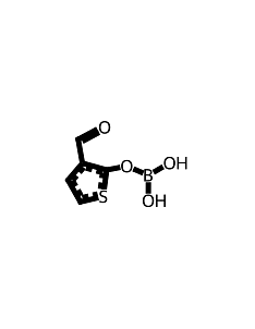 O=Cc1ccsc1OB(O)O